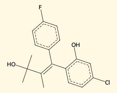 CC(=C(c1ccc(F)cc1)c1ccc(Cl)cc1O)C(C)(C)O